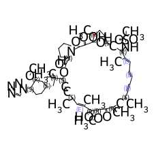 CO[C@@H]1C[C@H](C[C@@H](C)[C@@H]2CC[C@H](C)/C=C(\C)[C@@H](O)[C@@H](OC)C(=O)[C@H](C)C[C@H](C)/C=C/C=C/C=C(\C)[C@H](NS(C)(=O)=O)C[C@@H]3CC[C@@H](C)C(O)(O3)C(=O)C(=O)N3CCCC[C@H]3C(=O)O2)CC[C@@H]1n1cnnn1